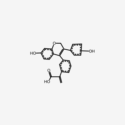 C=C(C(=O)O)c1cccc(C2=C(c3ccc(O)cc3)COc3cc(O)ccc32)c1